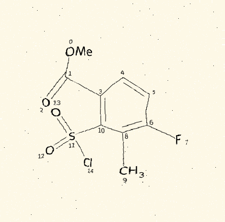 COC(=O)c1ccc(F)c(C)c1S(=O)(=O)Cl